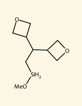 CO[SiH2]CC(C1COC1)C1COC1